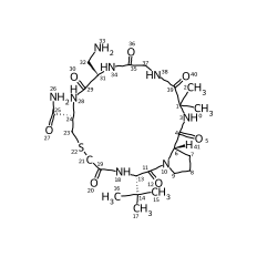 CC1(C)NC(=O)[C@@H]2CCCN2C(=O)[C@H](C(C)(C)C)NC(=O)CSC[C@H](C(N)=O)NC(=O)[C@@H](CN)NC(=O)CNC1=O